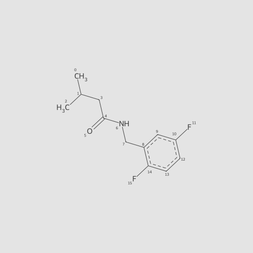 CC(C)CC(=O)NCc1cc(F)ccc1F